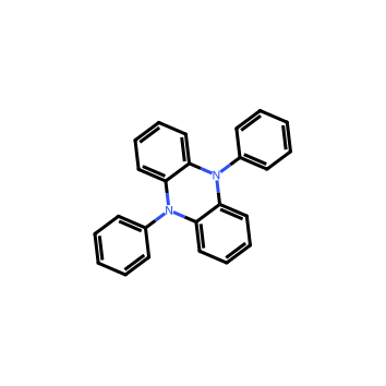 c1ccc(N2c3ccccc3N(c3ccccc3)c3ccccc32)cc1